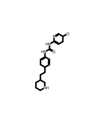 O=C(NC1=CCC(CCC2CCCNC2)C=C1)NC1=CCC(Cl)C=N1